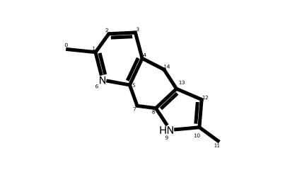 Cc1ccc2c(n1)Cc1[nH]c(C)cc1C2